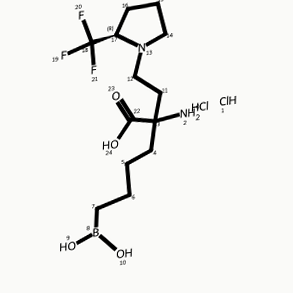 Cl.Cl.NC(CCCCB(O)O)(CCN1CCC[C@@H]1C(F)(F)F)C(=O)O